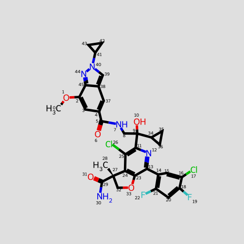 COc1cc(C(=O)NCC(O)(c2nc(-c3cc(Cl)c(F)cc3F)c3c(c2Cl)[C@@](C)(C(N)=O)CO3)C2CC2)cc2cn(C3CC3)nc12